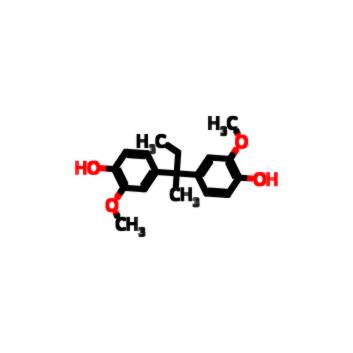 CCC(C)(c1ccc(O)c(OC)c1)c1ccc(O)c(OC)c1